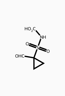 O=CC1(S(=O)(=O)NC(=O)O)CC1